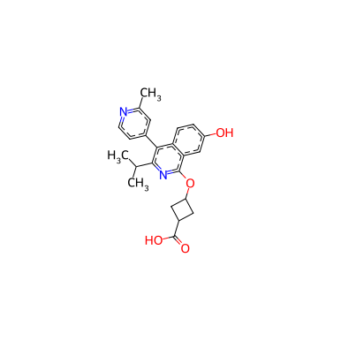 Cc1cc(-c2c(C(C)C)nc(OC3CC(C(=O)O)C3)c3cc(O)ccc23)ccn1